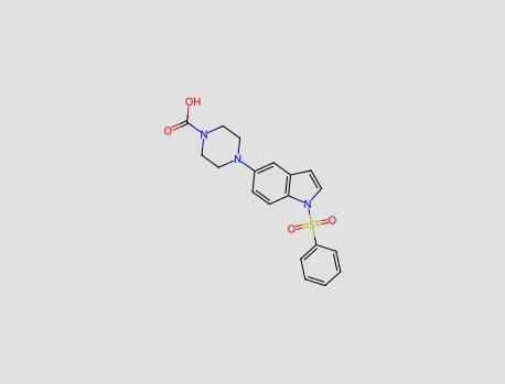 O=C(O)N1CCN(c2ccc3c(ccn3S(=O)(=O)c3ccccc3)c2)CC1